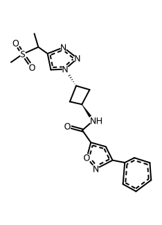 CC(c1cn([C@H]2C[C@H](NC(=O)c3cc(-c4ccccc4)no3)C2)nn1)S(C)(=O)=O